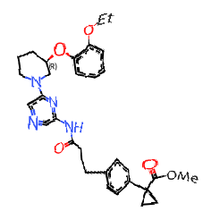 CCOc1ccccc1O[C@@H]1CCCN(c2cncc(NC(=O)CCc3ccc(C4(C(=O)OC)CC4)cc3)n2)C1